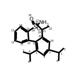 CC(C)c1cc(C(C)C)c(-c2ccccc2S(N)(=O)=O)c(C(C)C)c1